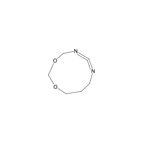 C1=NCCCOCOCN=1